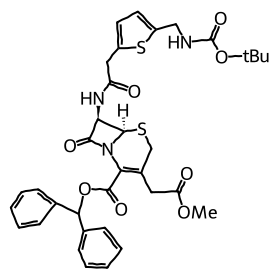 COC(=O)CC1=C(C(=O)OC(c2ccccc2)c2ccccc2)N2C(=O)[C@@H](NC(=O)Cc3ccc(CNC(=O)OC(C)(C)C)s3)[C@H]2SC1